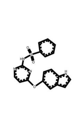 O=S(=O)(Nc1nccc(Oc2ccc3[nH]ccc3c2)n1)c1ccccc1